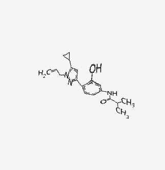 C=CCn1nc(-c2ccc(NC(=O)C(C)C)cc2O)cc1C1CC1